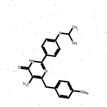 COc1ccc(Cc2nc(-c3ccc(SC(C)O)cc3)[nH]c(=O)c2C)cc1